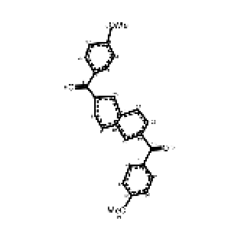 COc1ccc(C(=O)c2ccc3cc(C(=O)c4ccc(OC)cc4)ccc3c2)cc1